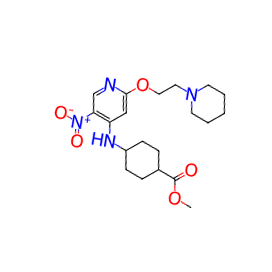 COC(=O)C1CCC(Nc2cc(OCCN3CCCCC3)ncc2[N+](=O)[O-])CC1